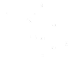 C=CCN1C(C)(C)CC(OC(=CC)C(=O)OC)CC1(C)C